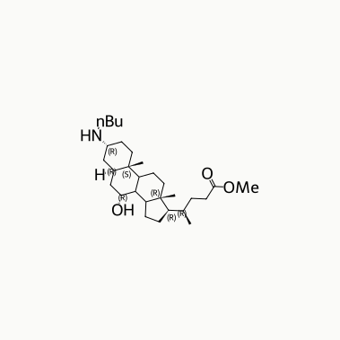 CCCCN[C@@H]1CC[C@]2(C)C3CC[C@@]4(C)C(CC[C@@H]4[C@H](C)CCC(=O)OC)C3[C@H](O)C[C@H]2C1